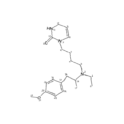 CCN(CCCCN1C=CCNC1=O)C(C)Cc1ccc(OC)cc1